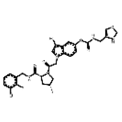 CC(=O)c1cn(CC(=O)N2C[C@H](F)C[C@H]2C(=O)NCc2cccc(Cl)c2F)c2ccc(OC(=O)NCC3=COCN3)cc12